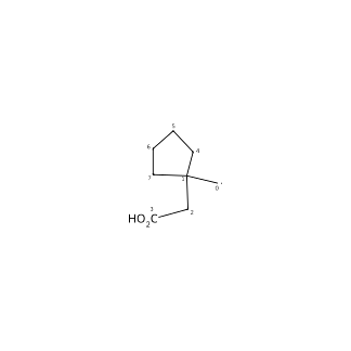 [CH2]C1(CC(=O)O)CCCC1